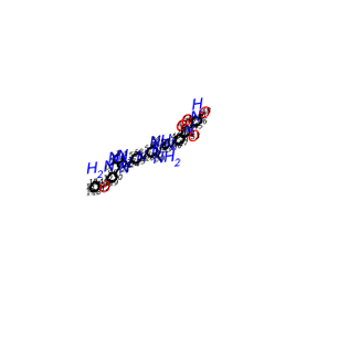 Nc1ncnc2c1c(-c1ccc(Oc3ccccc3)cc1)nn2C1CCN(C2CC(N)N(C3CN(c4ccc5c(c4)C(=O)N(C4CCC(=O)NC4=O)C5=O)C3)C(N)C2)CC1